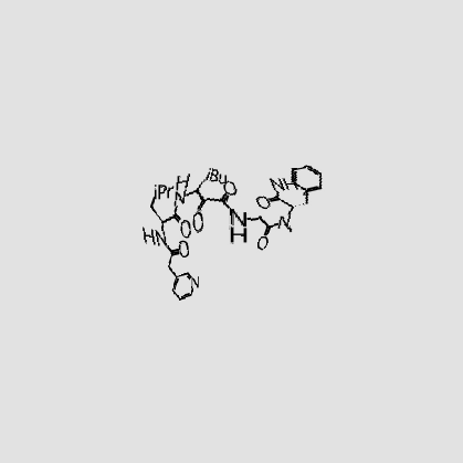 CC[C@H](C)C(NC(=O)[C@H](CC(C)C)NC(=O)Cc1cccnc1)C(=O)C(=O)NCC(=O)N(C)[C@@H](Cc1ccccc1)C(N)=O